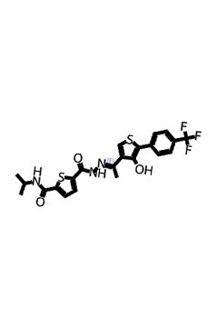 C/C(=N\NC(=O)c1ccc(C(=O)NC(C)C)s1)c1csc(-c2ccc(C(F)(F)F)cc2)c1O